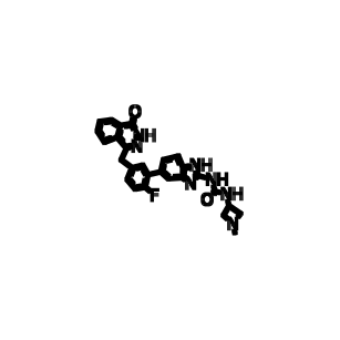 CN1CC(NC(=O)Nc2nc3cc(-c4cc(Cc5n[nH]c(=O)c6ccccc56)ccc4F)ccc3[nH]2)C1